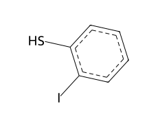 Sc1ccccc1I